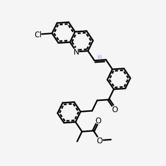 COC(=O)C(C)c1ccccc1CCC(=O)c1cccc(/C=C/c2ccc3ccc(Cl)cc3n2)c1